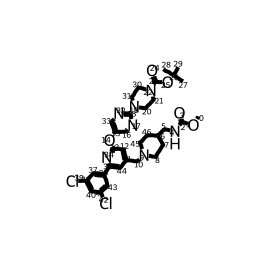 COC(=O)NCC1CCN(Cc2cc(Oc3cnc(N4CCN(C(=O)OC(C)(C)C)CC4)nc3)nc(-c3cc(Cl)cc(Cl)c3)c2)CC1